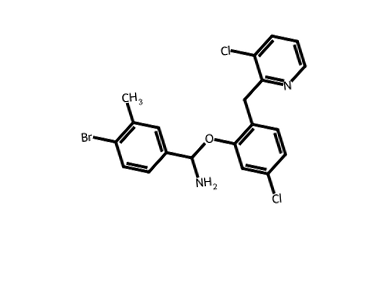 Cc1cc(C(N)Oc2cc(Cl)ccc2Cc2ncccc2Cl)ccc1Br